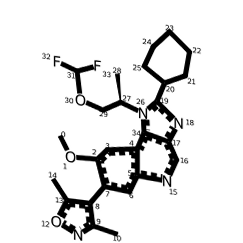 COc1cc2c(cc1-c1c(C)noc1C)ncc1nc(C3CCCCC3)n([C@H](C)COC(F)F)c12